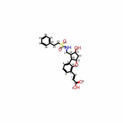 O=C(O)/C=C/c1cccc2c1OC1CC(O)C(CNS(=O)(=O)CCc3ccccc3)C21